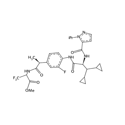 COC(=O)C(NC(=O)[C@@H](C)c1ccc(NC(=O)[C@@H](NC(=O)c2ccnn2C(C)C)C(C2CC2)C2CC2)c(F)c1)C(F)(F)F